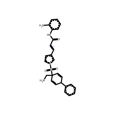 NCC1(S(=O)(=O)n2ccc(/C=C/C(=O)Nc3ccccc3N)c2)C=CC(c2ccccc2)C=C1